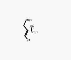 CCC=CCCCCCCC.O=S(=O)(O)O